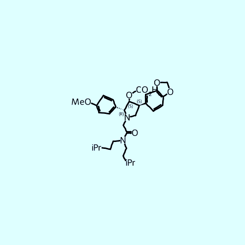 COc1ccc([C@@H]2[C@@H](OC(=O)O)[C@@H](c3ccc4c(c3)OCO4)CN2CC(=O)N(CCC(C)C)CCC(C)C)cc1